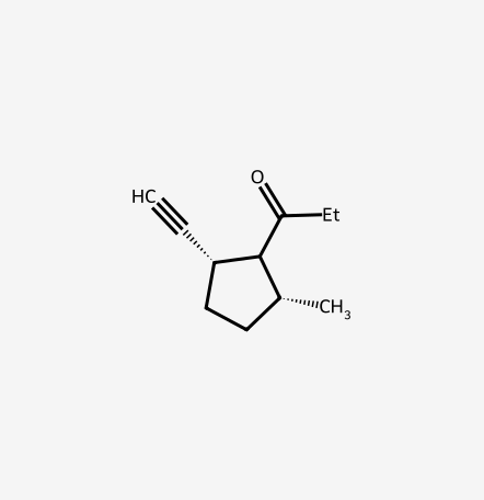 C#C[C@H]1CC[C@@H](C)C1C(=O)CC